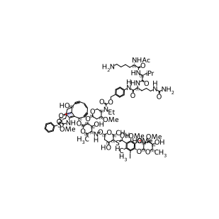 CCN(C(=O)OCc1ccc(NC(=O)[C@H](CCCNC(N)=O)NC(=O)[C@@H](NC(=O)[C@H](CCCCN)NC(C)=O)C(C)C)cc1)[C@H]1CO[C@@H](O[C@H]2[C@H](O[C@H]3C#CC=CC#C[C@]4(O)CC(=O)C(NC(=O)OC)=C3/C4=C\CSSc3ccccc3)O[C@H](C)[C@@H](NO[C@H]3C[C@H](O)[C@H]([SH]=C(O)c4c(C)c(I)c(O[C@@H]5O[C@@H](C)[C@H](O)[C@@H](OC)[C@H]5O)c(OC)c4OC)[C@@H](C)O3)[C@@H]2O)C[C@@H]1OC